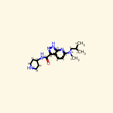 CC(C)CN(C)c1ccc2c(C(=O)NC3CCNCC3)n[nH]c2n1